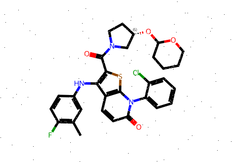 Cc1cc(Nc2c(C(=O)N3CC[C@H](OC4CCCCO4)C3)sc3c2ccc(=O)n3-c2ccccc2Cl)ccc1F